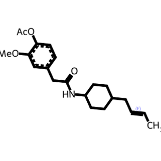 C/C=C/CC1CCC(NC(=O)Cc2ccc(OC(C)=O)c(OC)c2)CC1